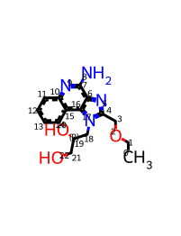 CCOCc1nc2c(N)nc3ccccc3c2n1C[C@@H](O)CO